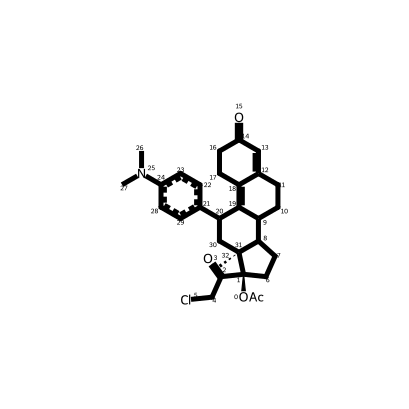 CC(=O)O[C@]1(C(=O)CCl)CCC2C3CCC4=CC(=O)CCC4=C3C(c3ccc(N(C)C)cc3)C[C@@]21C